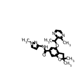 Cc1nccnc1C(C)Oc1cc(C(=O)Nc2ccn(C)n2)cc2c1CC(C)(C)O2